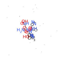 CC(C)(O)c1cnnn1[C@H]1C[C@@H](C(=O)NC(CCCCNC(=O)O)C(=O)C(N)=O)N(C(=O)C(CC2CCCCC2)NC(=O)c2ccc3nccnc3c2)C1